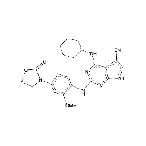 COc1cc(N2CCOC2=O)ccc1Nc1nc(NC2CCCCC2)c2c(C#N)c[nH]c2n1